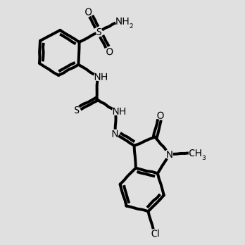 CN1C(=O)C(=NNC(=S)Nc2ccccc2S(N)(=O)=O)c2ccc(Cl)cc21